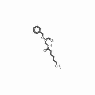 CCCCCCC(=O)NCN(C=O)OCc1ccccc1